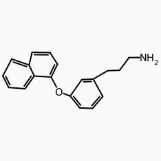 NCCCc1cccc(Oc2cccc3ccccc23)c1